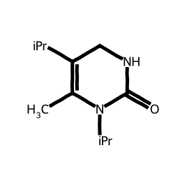 CC1=C(C(C)C)CNC(=O)N1C(C)C